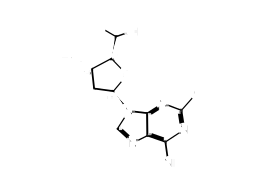 Nc1nc(Cl)nc2c1ncn2[C@H]1C[C@H](O)[C@@H](C(O)F)O1